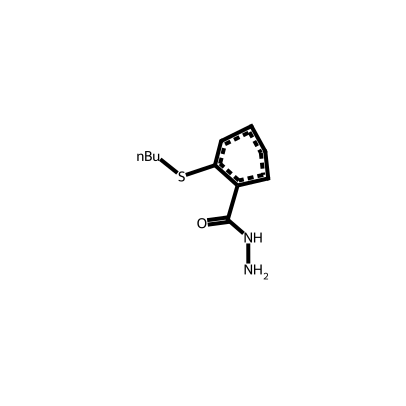 CCCCSc1ccccc1C(=O)NN